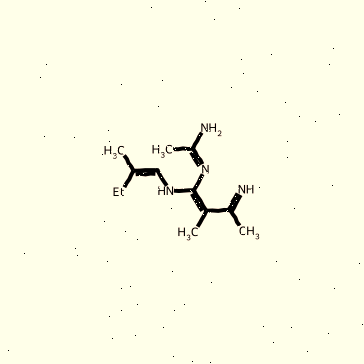 CC/C(C)=C\NC(/N=C(\C)N)=C(\C)C(C)=N